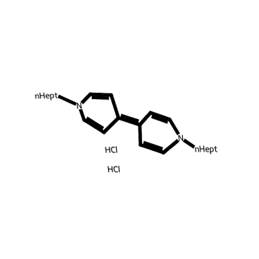 CCCCCCCN1C=CC(=C2C=CN(CCCCCCC)C=C2)C=C1.Cl.Cl